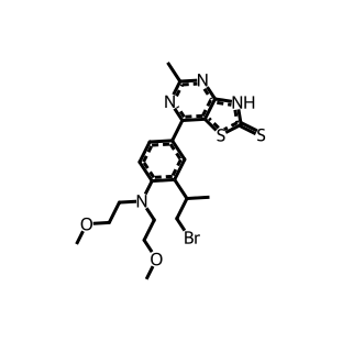 COCCN(CCOC)c1ccc(-c2nc(C)nc3[nH]c(=S)sc23)cc1C(C)CBr